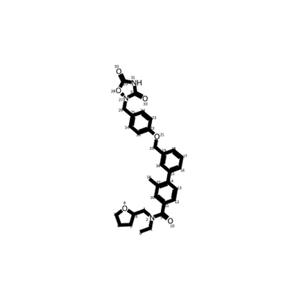 CCN(CC1CCCO1)C(=O)c1ccc(-c2cccc(COc3ccc(Cn4oc(=O)[nH]c4=O)cc3)c2)c(C)c1